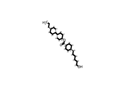 CCC[C@H]1CC[C@H]([C@H]2CC[C@H](OC(=O)[C@H]3CC[C@H](CCCCCCO)CC3)CC2)CC1